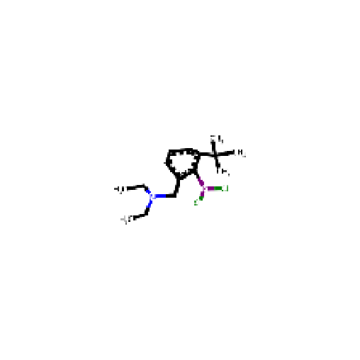 CCN(CC)Cc1cccc(C(C)(C)C)c1P(Cl)Cl